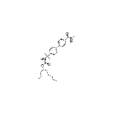 CCCCCC(CCC)OC(=O)NC(C)(C)c1ccc(-c2ccc(C(=O)NC)cc2)cc1